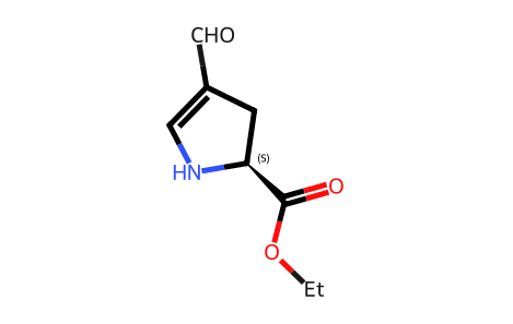 CCOC(=O)[C@@H]1CC(C=O)=CN1